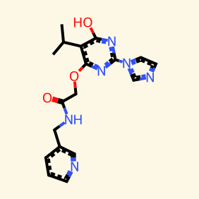 CC(C)c1c(O)nc(-n2ccnc2)nc1OCC(=O)NCc1cccnc1